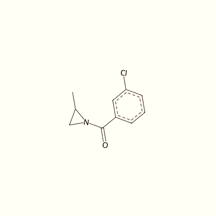 CC1CN1C(=O)c1cccc(Cl)c1